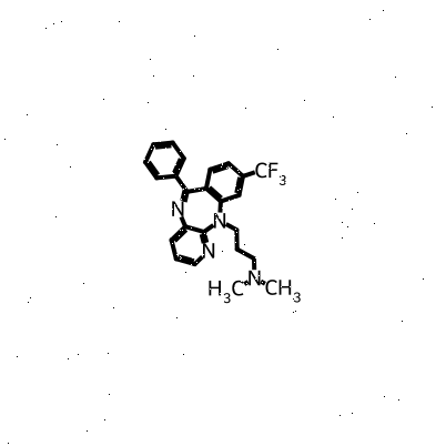 CN(C)CCCN1c2cc(C(F)(F)F)ccc2C(c2ccccc2)=Nc2cccnc21